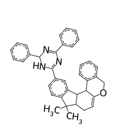 CC1(C)c2ccc(C3=NC(c4ccccc4)=NC(c4ccccc4)N3)cc2C2C3C(=CCC21)OCc1ccccc13